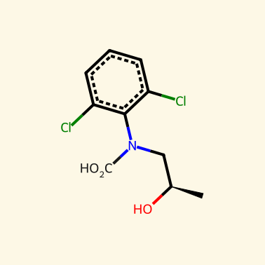 C[C@@H](O)CN(C(=O)O)c1c(Cl)cccc1Cl